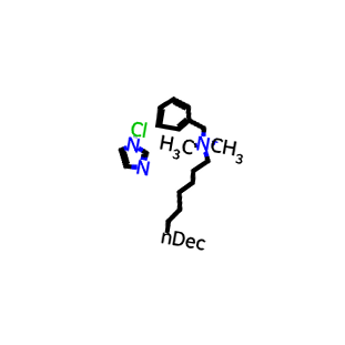 CCCCCCCCCCCCCCCC[N+](C)(C)Cc1ccccc1.Cln1ccnc1